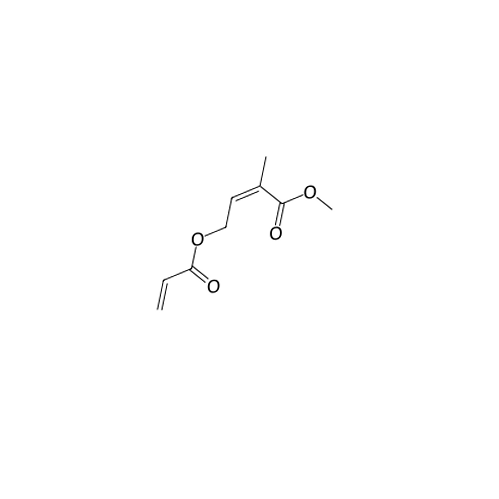 C=CC(=O)OCC=C(C)C(=O)OC